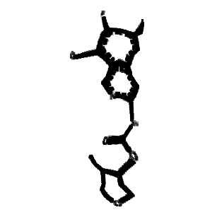 CC1COCC1OC(=O)Nc1cc2cc(I)c(F)c(Cl)c2cn1